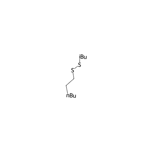 CCCCCCSSC(C)CC